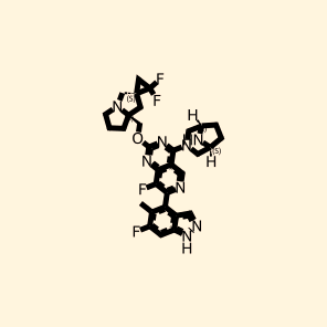 Cc1c(F)cc2[nH]ncc2c1-c1ncc2c(N3C[C@H]4CC[C@@H](C3)N4)nc(OC[C@@]34CCCN3C[C@@]3(CC3(F)F)C4)nc2c1F